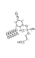 [CH2]C(CCCCCCCCC)(OC=CC(=O)O)Oc1ccccc1.[CH2]C[O].[CH2]C[O].[CH2]C[O].[CH2]C[O].[CH2]C[O].[CH2]C[O]